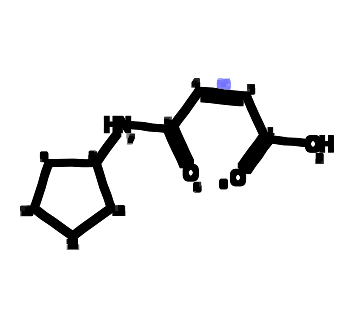 O=C(O)/C=C\C(=O)NC1CCCC1